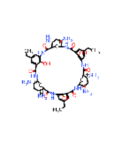 CCc1cc2c(O)c(c1)C(=O)N[C@H]1C[C@@H](C(=O)Nc3cc(CC)cc(c3O)C(=O)N[C@H]3C[C@@H](C(=O)Nc4cc(CC)cc(c4O)C(=O)N[C@H]4CC(C(=O)N2)[C@H](N)C[C@@H]4N)[C@H](N)C[C@@H]3N)[C@H](N)C[C@@H]1N